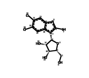 OC[C@H]1O[C@@H](n2c(S)nc3cc(Cl)c(Cl)cc32)[C@@H](O)[C@H]1O